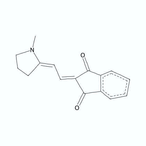 CN1CCC/C1=C\C=C1C(=O)c2ccccc2C1=O